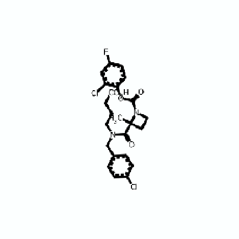 CC1(C(=O)N(CCCC(=O)O)Cc2ccc(Cl)cc2)CCN1C(=O)Oc1ccc(F)cc1Cl